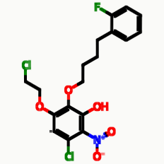 O=[N+]([O-])c1c(Cl)[c]c(OCCCl)c(OCCCCc2ccccc2F)c1O